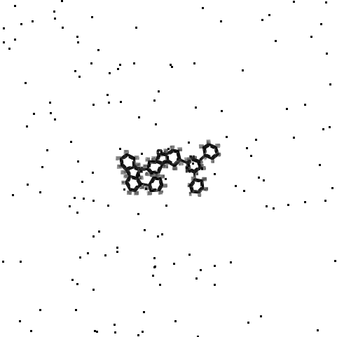 c1ccc(-c2nc(-c3ccccc3)nc(-c3ccc4oc5cc(-n6c7ccccc7c7cccc(-c8ccccc8)c76)ccc5c4c3)n2)cc1